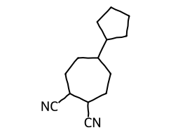 N#CC1CCC(C2CCCC2)CCC1C#N